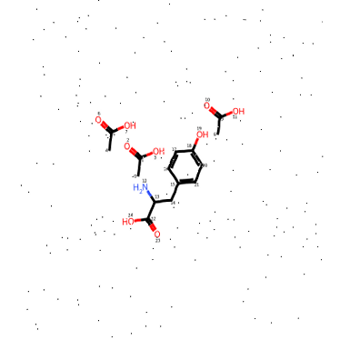 CC(=O)O.CC(=O)O.CC(=O)O.NC(Cc1ccc(O)cc1)C(=O)O